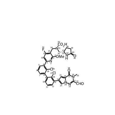 COc1nc(-c2cccc(-c3cccc(-c4cc5c(=O)n(C)c(C=O)nn5c4)c3Cl)c2Cl)cc(F)c1CN(C[C@@H]1CCC(=O)N1)C(=O)O